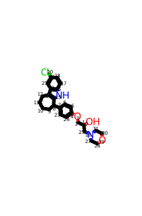 OC(COc1ccc(C2CCCCc3c2[nH]c2ccc(Cl)cc32)cc1)CN1CCOCC1